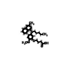 CCCCCN(c1ccc(OC)c(OCCCC(=O)O)c1)c1nc(C)nc2ccccc12